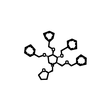 c1ccc(COC[C@@H]2[C@@H](OCc3ccccc3)[C@H](OCc3ccccc3)[C@@H](OCc3ccccc3)CN2C[C@H]2CCCO2)cc1